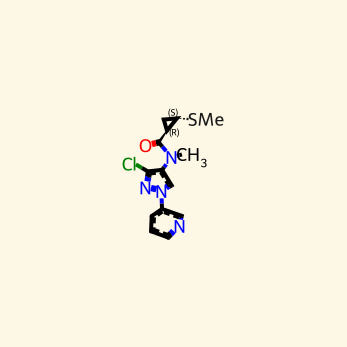 CS[C@H]1C[C@@H]1C(=O)N(C)c1cn(-c2cccnc2)nc1Cl